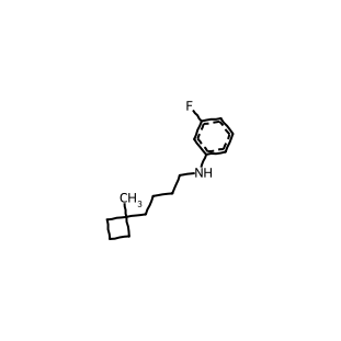 CC1(CCCCNc2cccc(F)c2)CCC1